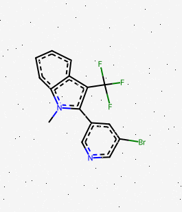 Cn1c(-c2cncc(Br)c2)c(C(F)(F)F)c2ccccc21